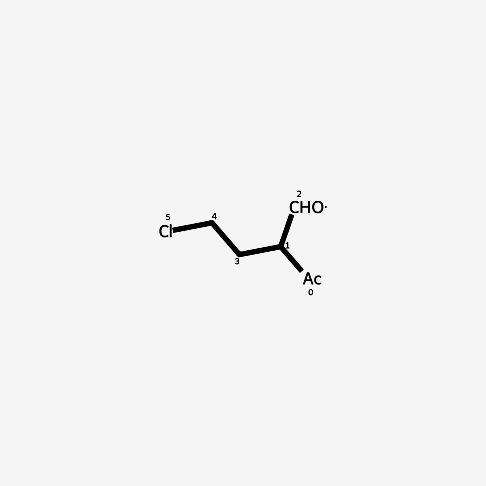 CC(=O)C([C]=O)CCCl